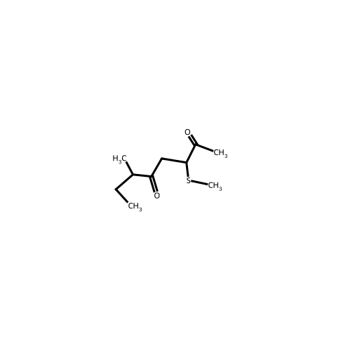 CCC(C)C(=O)CC(SC)C(C)=O